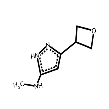 CNc1cc(C2COC2)n[nH]1